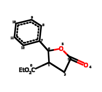 CCOC(=O)C1CC(=O)OC1c1ccccc1